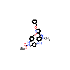 Cn1nc(-c2ccc(OCc3ccccc3)nc2OCc2ccccc2)c2ccc(NC3CCC(CNC(=O)OC(C)(C)C)CC3)cc21